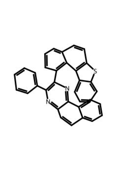 c1ccc(-c2nc3ccc4ccccc4c3nc2-c2cccc3ccc4sc5ccccc5c4c23)cc1